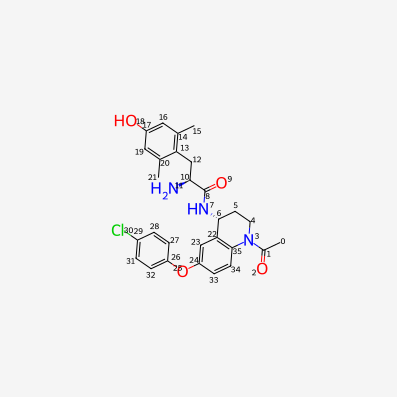 CC(=O)N1CC[C@@H](NC(=O)[C@@H](N)Cc2c(C)cc(O)cc2C)c2cc(Oc3ccc(Cl)cc3)ccc21